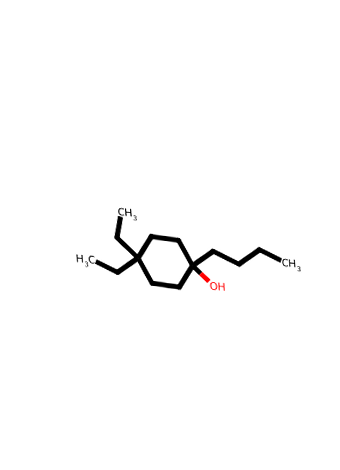 CCCCC1(O)CCC(CC)(CC)CC1